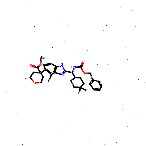 CC(C)(C)OC(=O)C1(c2ccc3[nH]c(C(NC(=O)OCc4ccccc4)C4CCC(F)(F)CC4)nc3c2F)CCOCC1